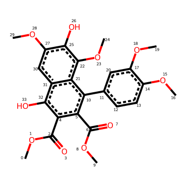 COC(=O)c1c(C(=O)OC)c(-c2ccc(OC)c(OC)c2)c2c(OC)c(O)c(OC)cc2c1O